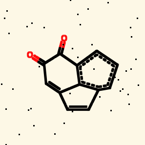 O=C1C=C2C=Cc3cccc(c32)C1=O